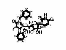 C[C@H](NP(=S)(OC[C@@]1(F)O[C@@H](n2ccc(=O)[nH]c2=O)[C@](C)(O)[C@@H]1O)Oc1ccccc1)C(=O)OCc1ccccc1